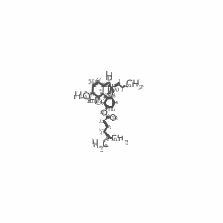 C=CCN1CC[C@]23c4c5ccc(OC(=O)/C=C/C=C(C)C)c4O[C@H]2[C@@H](O)C=CC3[C@H]1C5